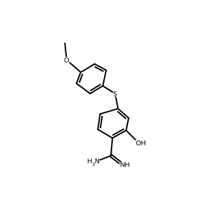 COc1ccc(Sc2ccc(C(=N)N)c(O)c2)cc1